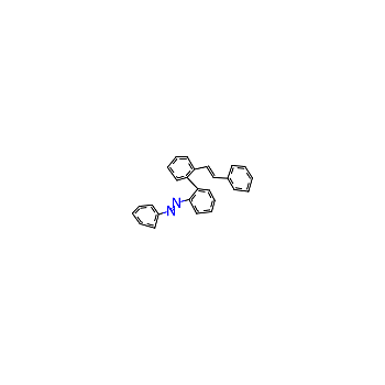 C(=Cc1ccccc1-c1ccccc1N=Nc1ccccc1)c1ccccc1